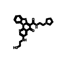 O=C(NCCN1CCCC1)c1c(=O)c2cc(NCCO)cnc2n2c1sc1ccccc12